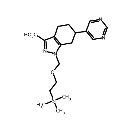 C[Si](C)(C)CCOCn1nc(C(=O)O)c2c1CC(c1cncnc1)CC2